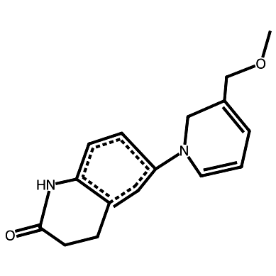 COCC1=CC=CN(c2ccc3c(c2)CCC(=O)N3)C1